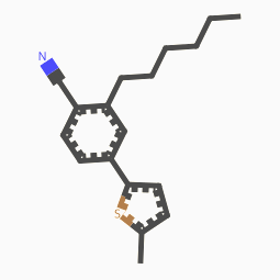 CCCCCCc1cc(-c2ccc(C)s2)ccc1C#N